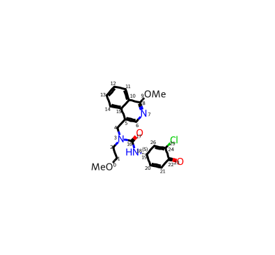 COCCN(Cc1cnc(OC)c2ccccc12)C(=O)N[C@H]1C=CC(=O)C(Cl)=C1